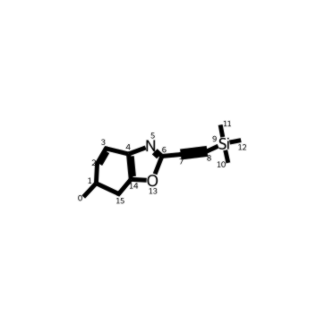 CC1C=Cc2nc(C#C[Si](C)(C)C)oc2C1